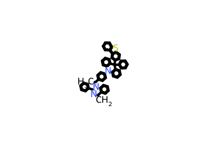 C=C(/N=C(\N=C(/C)c1ccc(N2c3ccccc3C(c3ccccc3)(c3ccc4sc5ccccc5c4c3)c3ccccc32)cc1)c1ccccc1)c1ccccc1